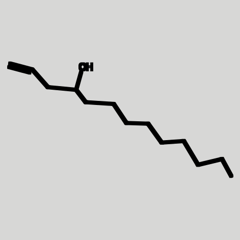 C=CCC(O)CCCCCCCCC